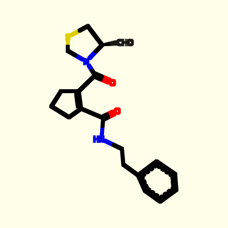 O=C[C@@H]1CSCN1C(=O)C1=C(C(=O)NCCc2ccccc2)CCC1